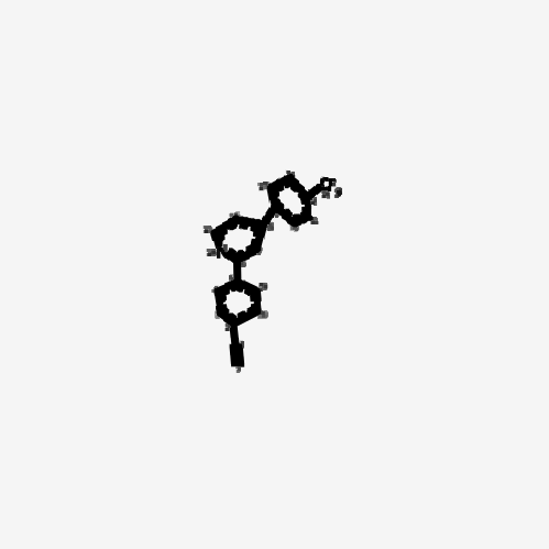 C#Cc1ccc(-c2cc(-c3ccc(C(F)(F)F)cc3)ccn2)cc1